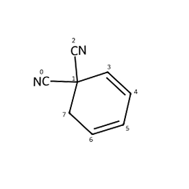 N#CC1(C#N)C=CC=CC1